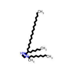 CCCCCCCCCCCCCCCCCCC(CCCCCC)c1[nH]cc[n+]1C(C)CCCCCCCC